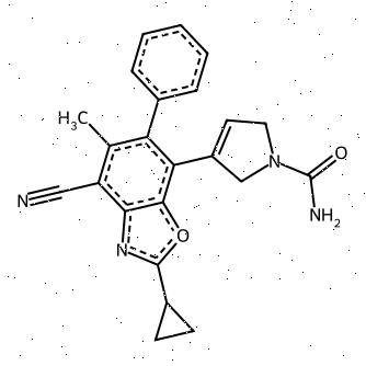 Cc1c(-c2ccccc2)c(C2=CCN(C(N)=O)C2)c2oc(C3CC3)nc2c1C#N